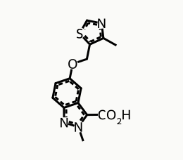 Cc1ncsc1COc1ccc2nn(C)c(C(=O)O)c2c1